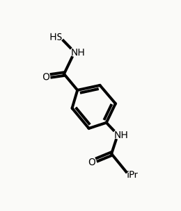 CC(C)C(=O)Nc1ccc(C(=O)NS)cc1